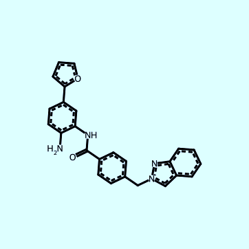 Nc1ccc(-c2ccco2)cc1NC(=O)c1ccc(Cn2cc3ccccc3n2)cc1